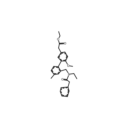 CCOC(=O)Cc1ccc(OC)c(-c2ccc(C)cc2CN(CC)C(=O)Cc2ccccc2)c1